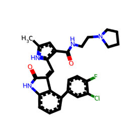 Cc1cc(C(=O)NCCN2CCCC2)c(C=C2C(=O)Nc3cccc(-c4ccc(F)c(Cl)c4)c32)[nH]1